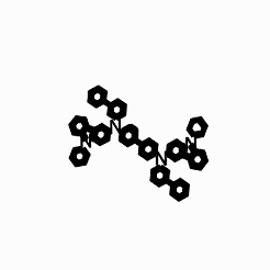 c1c(-c2ccc(N(c3cccc(-c4ccccc4)c3)c3ccc4c(c3)c3ccccc3n4C3=CC=CCC3)cc2)ccc(N(c2cccc(-c3ccccc3)c2)c2ccc3c(c2)c2ccccc2n3-c2ccccc2)c#1